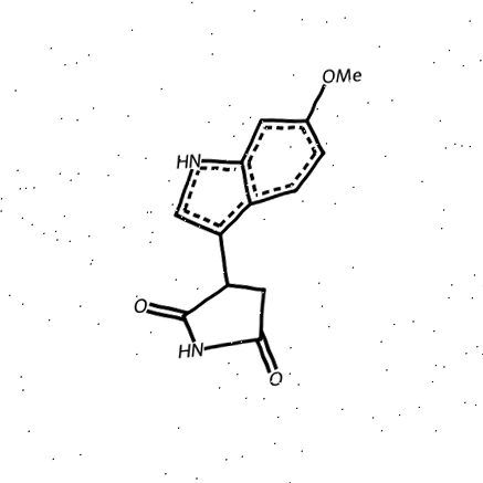 COc1ccc2c(C3CC(=O)NC3=O)c[nH]c2c1